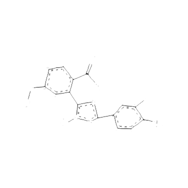 Cn1nc(-c2ccc(N)c(Cl)c2)nc1-c1cc(OC(F)(F)F)ccc1C(N)=O